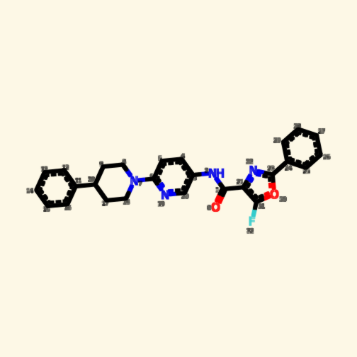 O=C(Nc1ccc(N2CCC(c3ccccc3)CC2)nc1)c1nc(-c2ccccc2)oc1F